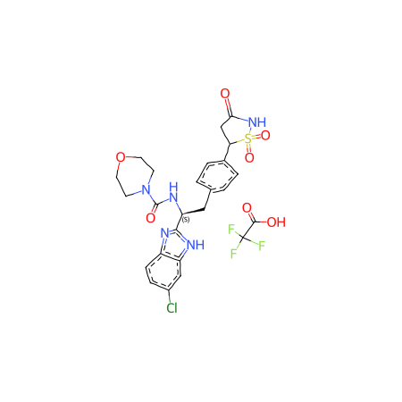 O=C(O)C(F)(F)F.O=C1CC(c2ccc(C[C@H](NC(=O)N3CCOCC3)c3nc4ccc(Cl)cc4[nH]3)cc2)S(=O)(=O)N1